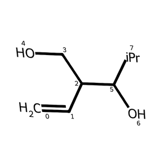 C=CC(CO)C(O)C(C)C